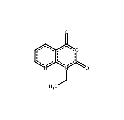 CCn1c(=O)oc(=O)c2cccnc21